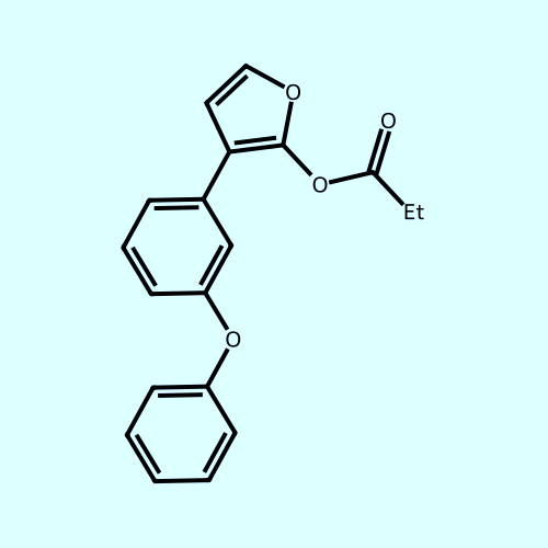 CCC(=O)Oc1occc1-c1cccc(Oc2ccccc2)c1